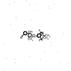 CC(C)n1nc(F)c2cc(OC[C@@H]3C[C@](O)(c4cccc(C#N)c4)C[C@H](C)N3)cc(C(F)(F)F)c21